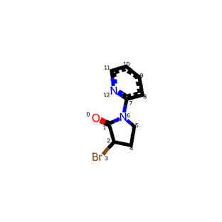 O=C1C(Br)CCN1c1ccccn1